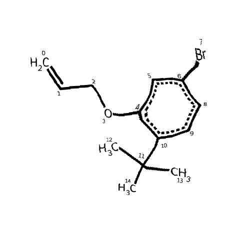 C=CCOc1cc(Br)ccc1C(C)(C)C